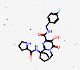 O=C(NCc1ccc(F)cc1)c1nc2n(c(=O)c1O)CC1CCC2(NC(=O)C2CCCN2)CC1